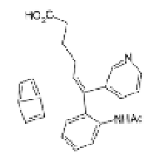 CC(=O)Nc1ccccc1C(=CCCCC(=O)O)c1cccnc1.c1cc2ccc1-2